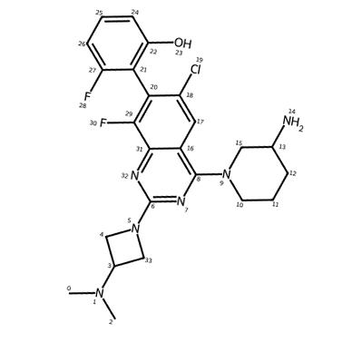 CN(C)C1CN(c2nc(N3CCCC(N)C3)c3cc(Cl)c(-c4c(O)cccc4F)c(F)c3n2)C1